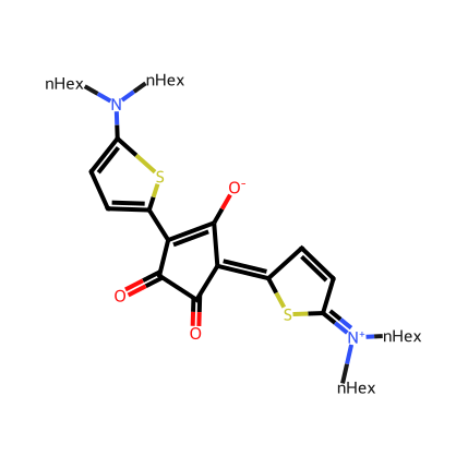 CCCCCCN(CCCCCC)c1ccc(C2=C([O-])/C(=C3\C=CC(=[N+](CCCCCC)CCCCCC)S3)C(=O)C2=O)s1